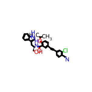 CC(C)Oc1ccc(C#Cc2ccc(C#N)c(Cl)c2)cc1C(=O)N[C@@H](CO)Cc1c[nH]c2ccccc12